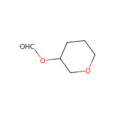 O=[C]OC1CCCOC1